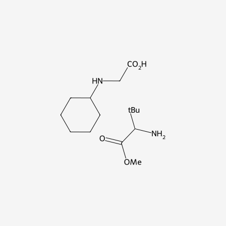 COC(=O)C(N)C(C)(C)C.O=C(O)CNC1CCCCC1